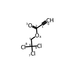 C#CC(=O)OCC(Cl)(Cl)Cl